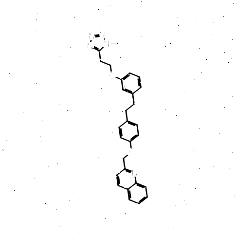 c1cc(CCc2ccc(OCc3ccc4ccccc4n3)cc2)cc(OCCc2nnn[nH]2)c1